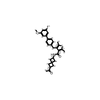 COc1cc(F)cc(-c2ccc(Cc3c(C)sc(C)c3C(=O)NC3CC4(C3)CC(C(C)=O)C4)cc2)c1